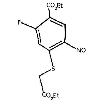 CCOC(=O)CSc1cc(F)c(C(=O)OCC)cc1N=O